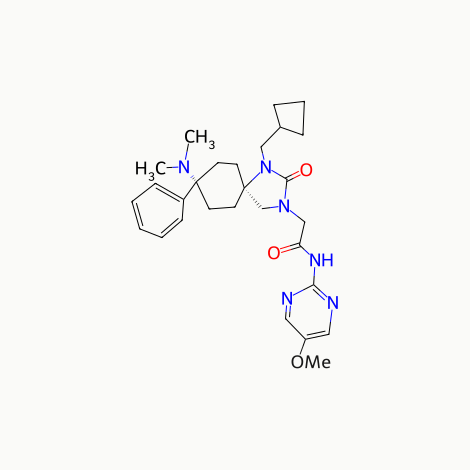 COc1cnc(NC(=O)CN2C[C@]3(CC[C@@](c4ccccc4)(N(C)C)CC3)N(CC3CCC3)C2=O)nc1